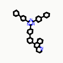 c1ccc(-c2ccc(-c3nc(-c4ccc(-c5ccccc5)cc4)nc(-c4ccc(-c5cccc(-c6cc7cccnc7c7ccccc67)c5)cc4)n3)cc2)cc1